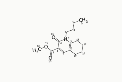 CCCCn1c2c(cc(C(=O)OC)c1=O)CCCC2